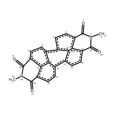 CN1C(=O)c2ccc3c4ccc5c6c(ccc(c7ccc(c2c37)C1=O)c64)C(=O)N(C)C5=O